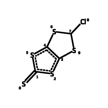 S=c1sc2c(s1)SC(Cl)S2